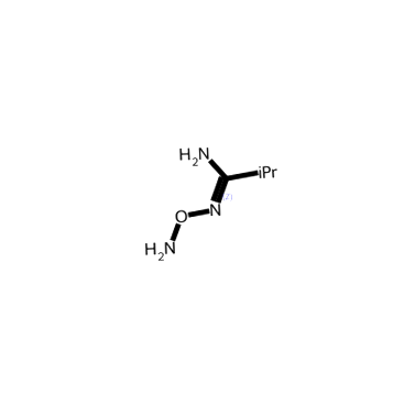 CC(C)/C(N)=N/ON